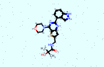 CC(C)(O)C(=O)NCc1cc2nc(-c3cccc4[nH]ncc34)nc(N3CCOCC3)c2s1